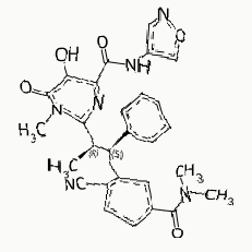 C[C@@H](c1nc(C(=O)Nc2cnoc2)c(O)c(=O)n1C)[C@@H](c1ccccc1)c1cc(C(=O)N(C)C)ccc1C#N